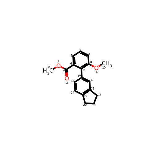 COC(=O)c1cccc(OC)c1-c1ccc2c(c1)CCC2